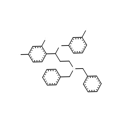 Fc1ccc(C(CCN(Cc2ccccc2)Cc2ccccc2)Oc2cccc(I)c2)c(Br)c1